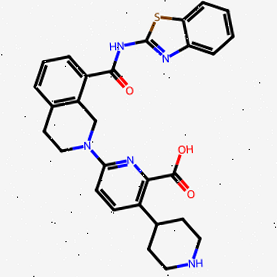 O=C(Nc1nc2ccccc2s1)c1cccc2c1CN(c1ccc(C3CCNCC3)c(C(=O)O)n1)CC2